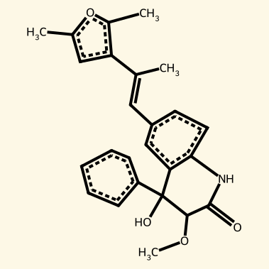 COC1C(=O)Nc2ccc(/C=C(\C)c3cc(C)oc3C)cc2C1(O)c1ccccc1